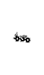 COc1cc(-c2ccc(-c3ccccc3Br)cn2)ccc1C